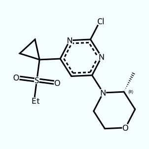 CCS(=O)(=O)C1(c2cc(N3CCOC[C@H]3C)nc(Cl)n2)CC1